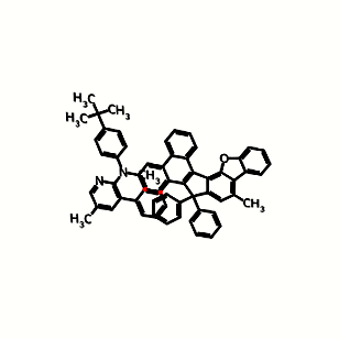 Cc1cnc(N(c2ccc(C(C)(C)C)cc2)c2ccc3c4c(c5ccccc5c3c2)-c2c(cc(C)c3c2oc2ccccc23)C4(c2ccccc2)c2ccccc2)c(-c2ccccc2C)c1